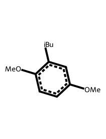 CCC(C)c1cc(OC)ccc1OC